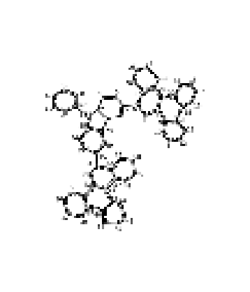 C1=CC2C(C=C1c1cc3c4ccccc4c4ccccc4c3c3ccccc13)c1cc(-c3cc4c5ccccc5c5ccccc5c4c4ccccc34)ccc1N2c1ccccc1